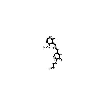 CNC1C=CN=C(Cl)/C1=C/NCc1cnc(OCCF)c(C)c1